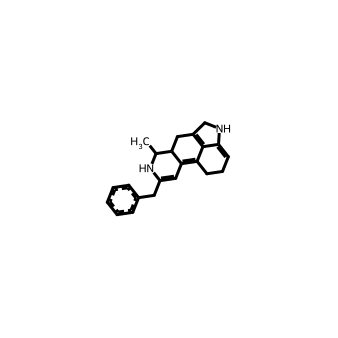 CC1NC(Cc2ccccc2)=CC2=C3CCC=C4NCC(=C43)CC21